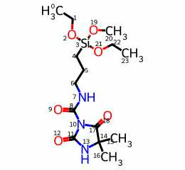 CCO[Si](CCCNC(=O)N1C(=O)NC(C)(C)C1=O)(OC)OCC